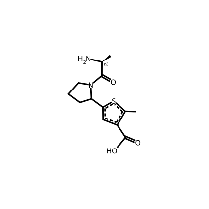 Cc1sc(C2CCCN2C(=O)[C@H](C)N)cc1C(=O)O